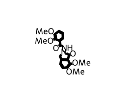 COc1cccc(C(=O)NN2Cc3ccc(OC)c(OC)c3C2=O)c1OC